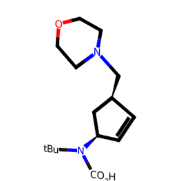 CC(C)(C)N(C(=O)O)[C@@H]1C=C[C@H](CN2CCOCC2)C1